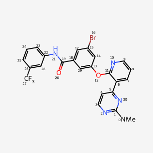 CNc1nccc(-c2cccnc2Oc2cc(Br)cc(C(=O)Nc3cccc(C(F)(F)F)c3)c2)n1